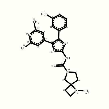 Cc1cccc(-c2nc(NC(=O)N3CCC4(CCN4C)C3)sc2-c2cc(C)nc(C)c2)c1